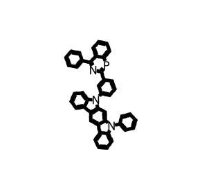 c1ccc(-c2nc(-c3cccc(-n4c5ccccc5c5cc6c7ccccc7n(-c7ccccc7)c6cc54)c3)pc3ccccc23)cc1